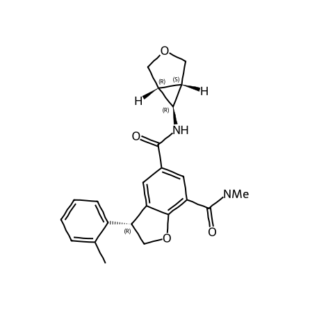 CNC(=O)c1cc(C(=O)N[C@H]2[C@@H]3COC[C@@H]32)cc2c1OC[C@@H]2c1ccccc1C